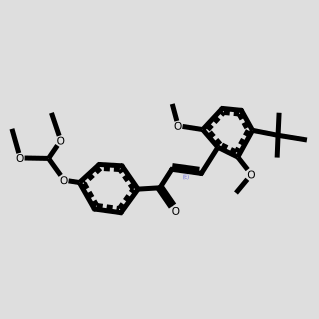 COc1ccc(C(C)(C)C)c(OC)c1/C=C/C(=O)c1ccc(OC(OC)OC)cc1